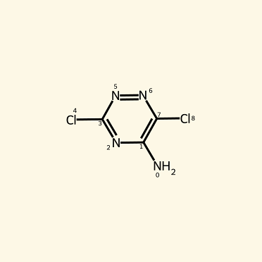 Nc1nc(Cl)nnc1Cl